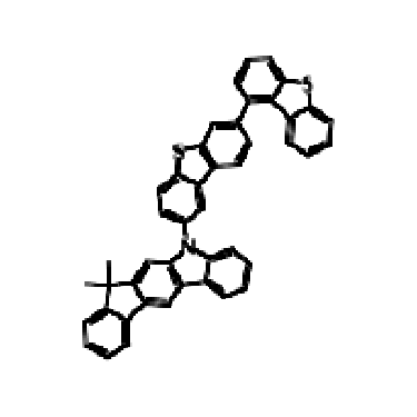 CC1(C)c2ccccc2-c2cc3c4ccccc4n(-c4ccc5sc6cc(-c7cccc8sc9ccccc9c78)ccc6c5c4)c3cc21